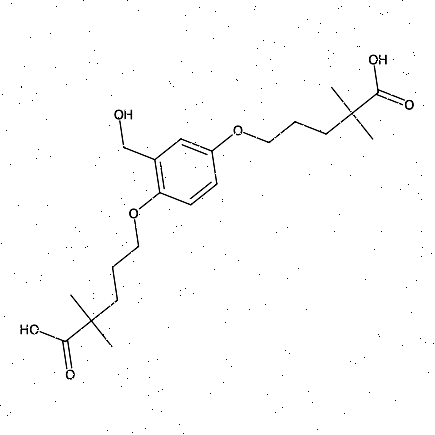 CC(C)(CCCOc1ccc(OCCCC(C)(C)C(=O)O)c(CO)c1)C(=O)O